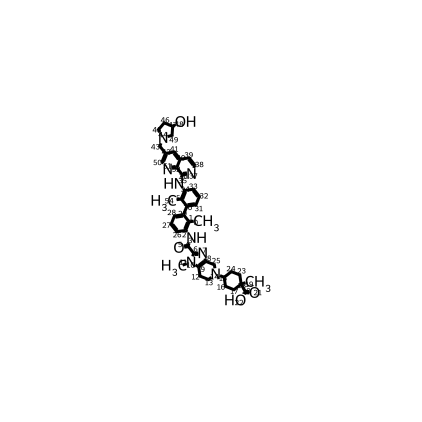 Cc1c(NC(=O)c2nc3c(n2C)CCN(C2CCC(C)(C(=O)O)CC2)C3)cccc1-c1cccc(Nc2nccc3cc(CN4CCC(O)C4)cnc23)c1C